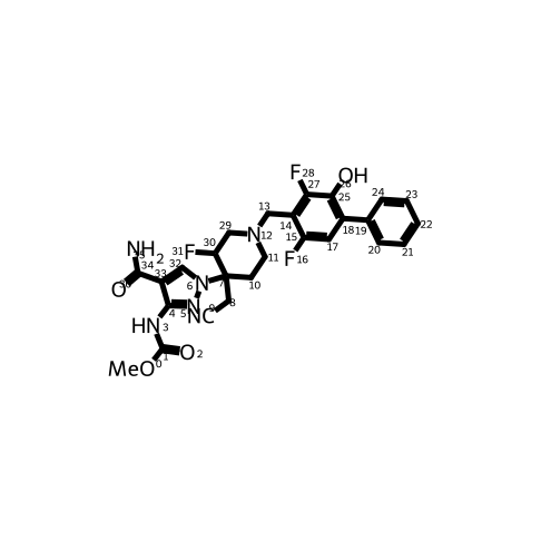 COC(=O)Nc1nn(C2(CC#N)CCN(Cc3c(F)cc(-c4ccccc4)c(O)c3F)CC2F)cc1C(N)=O